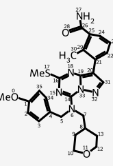 COc1ccc(CN(CC2CCOCC2)c2nc(SC)nc3c(-c4cccc(C(N)=O)c4C)cnn23)cc1